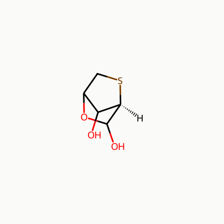 OC1OC2CS[C@@H]1C2O